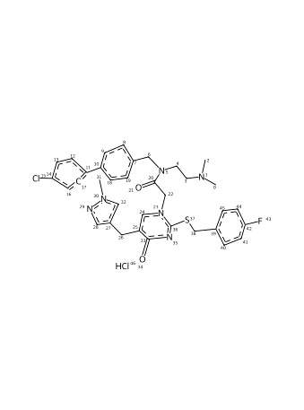 CN(C)CCN(Cc1ccc(-c2ccc(Cl)cc2)cc1)C(=O)Cn1cc(Cc2cnn(C)c2)c(=O)nc1SCc1ccc(F)cc1.Cl